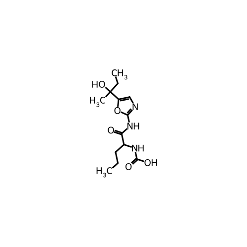 CCCC(NC(=O)O)C(=O)Nc1ncc(C(C)(O)CC)o1